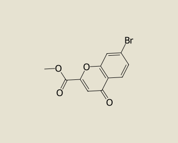 COC(=O)c1cc(=O)c2ccc(Br)cc2o1